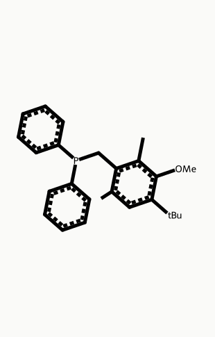 COc1c(C(C)(C)C)cc(C)c(CP(c2ccccc2)c2ccccc2)c1C